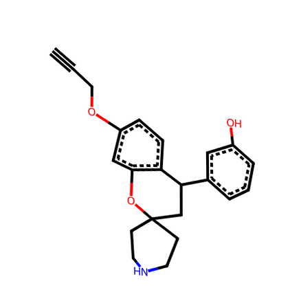 C#CCOc1ccc2c(c1)OC1(CCNCC1)CC2c1cccc(O)c1